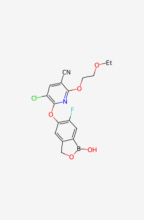 CCOCCOc1nc(Oc2cc3c(cc2F)B(O)OC3)c(Cl)cc1C#N